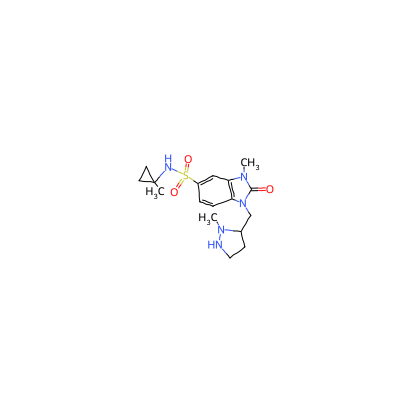 CN1NCCC1Cn1c(=O)n(C)c2cc(S(=O)(=O)NC3(C)CC3)ccc21